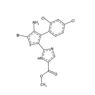 COC(=O)c1cnc(-c2sc(Br)c(N)c2-c2ccc(Cl)cc2Cl)[nH]1